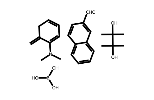 C=C1CC=CC=C1N(C)C.CC(C)(O)C(C)(C)O.O=Cc1ccc2ccccc2c1.OB(O)O